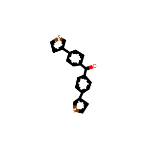 O=C(c1ccc(-c2ccsc2)cc1)c1ccc(-c2ccsc2)cc1